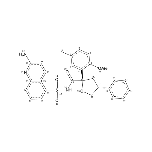 COc1ccc(C)cc1[C@@]1(C(=O)NS(=O)(=O)c2cccc3nc(N)ccc23)C[C@H](c2ccccc2)CO1